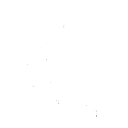 CC1(C)CCNc2cc(Nc3nc4c(N5CCC6(CNC(=O)C6)C5)nccn4n3)ccc21